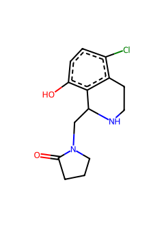 O=C1CCCN1CC1NCCc2c(Cl)ccc(O)c21